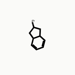 CC(C)C1CC2C=CC=CC2C1